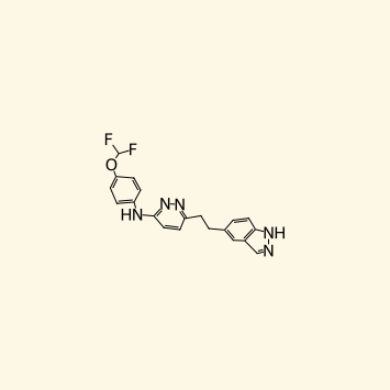 FC(F)Oc1ccc(Nc2ccc(CCc3ccc4[nH]ncc4c3)nn2)cc1